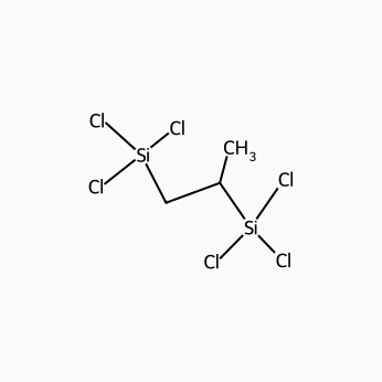 CC(C[Si](Cl)(Cl)Cl)[Si](Cl)(Cl)Cl